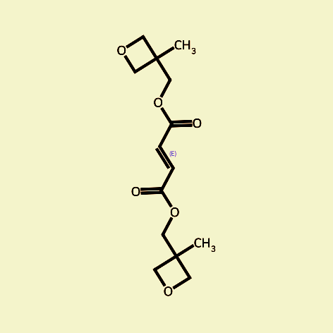 CC1(COC(=O)/C=C/C(=O)OCC2(C)COC2)COC1